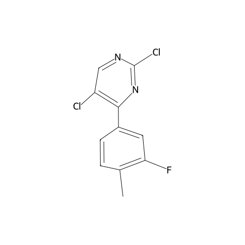 Cc1ccc(-c2nc(Cl)ncc2Cl)cc1F